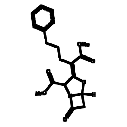 COC(=O)C(CCCc1ccccc1)=C1O[C@@H]2CC(=O)N2C1C(=O)OC